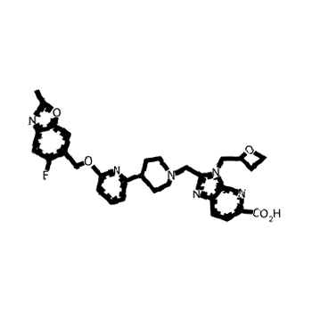 Cc1nc2cc(F)c(COc3cccc(C4CCN(Cc5nc6ccc(C(=O)O)nc6n5CC5CCO5)CC4)n3)cc2o1